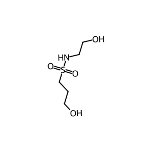 O=S(=O)(CCCO)NCCO